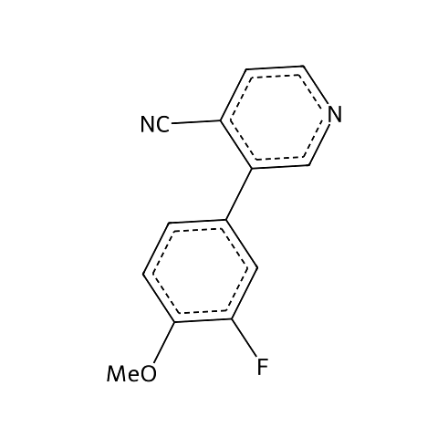 COc1ccc(-c2cnccc2C#N)cc1F